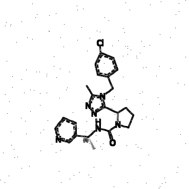 Cc1nnc(C2CCCN2C(=O)N[C@H](C)c2cccnc2)n1Cc1ccc(Cl)cc1